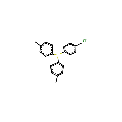 Cc1ccc([S+](c2ccc(C)cc2)c2ccc(C)cc2)cc1.[Cl-]